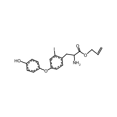 C=CCOC(=O)C(N)Cc1ccc(Oc2ccc(O)cc2)cc1I